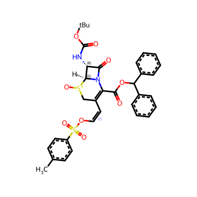 Cc1ccc(S(=O)(=O)O/C=C\C2=C(C(=O)OC(c3ccccc3)c3ccccc3)N3C(=O)[C@@H](NC(=O)OC(C)(C)C)[C@@H]3[S+]([O-])C2)cc1